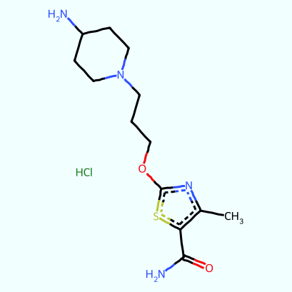 Cc1nc(OCCCN2CCC(N)CC2)sc1C(N)=O.Cl